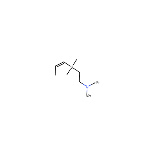 C/C=C\[Si](C)(C)CCN(CCC)CCC